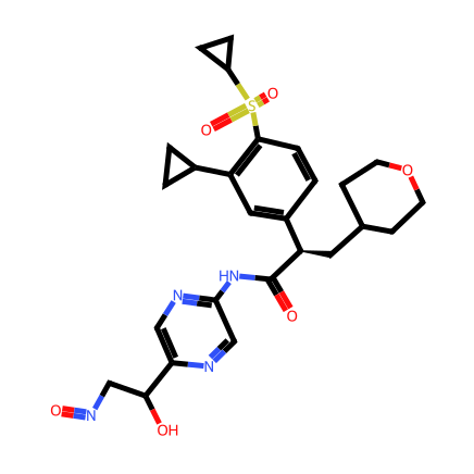 O=NCC(O)c1cnc(NC(=O)[C@H](CC2CCOCC2)c2ccc(S(=O)(=O)C3CC3)c(C3CC3)c2)cn1